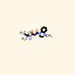 CCC(C)(C)NC(=O)CC(=O)N1CCN(C)c2ccccc21